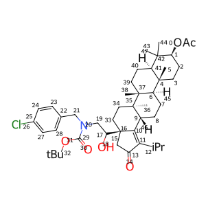 CC(=O)O[C@H]1CC[C@]2(C)[C@H]3CC[C@@H]4C5=C(C(C)C)C(=O)C[C@]5(C(O)CN(Cc5ccc(Cl)cc5)C(=O)OC(C)(C)C)CC[C@@]4(C)[C@]3(C)CC[C@H]2C1(C)C